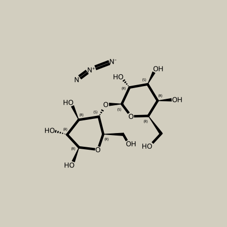 OC[C@H]1O[C@@H](O[C@H]2[C@H](O)[C@@H](O)[C@H](O)O[C@@H]2CO)[C@H](O)[C@@H](O)[C@H]1O.[N-]=[N+]=[N-]